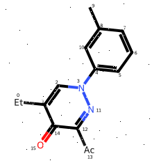 CCc1cn(-c2cccc(C)c2)nc(C(C)=O)c1=O